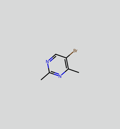 Cc1ncc(Br)c(C)n1